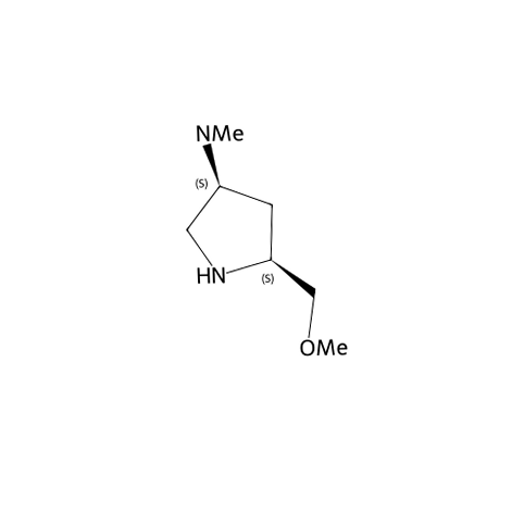 CN[C@@H]1CN[C@H](COC)C1